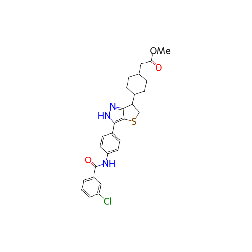 COC(=O)CC1CCC(C2CSc3c2n[nH]c3-c2ccc(NC(=O)c3cccc(Cl)c3)cc2)CC1